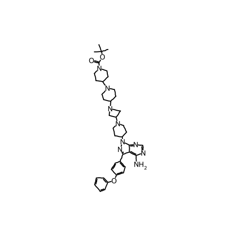 CC(C)(C)OC(=O)N1CCC(N2CCC(N3CC(N4CCC(n5nc(-c6ccc(Oc7ccccc7)cc6)c6c(N)ncnc65)CC4)C3)CC2)CC1